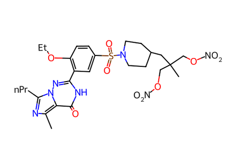 CCCc1nc(C)c2c(=O)[nH]c(-c3cc(S(=O)(=O)N4CCC(CC(C)(CO[N+](=O)[O-])CO[N+](=O)[O-])CC4)ccc3OCC)nn12